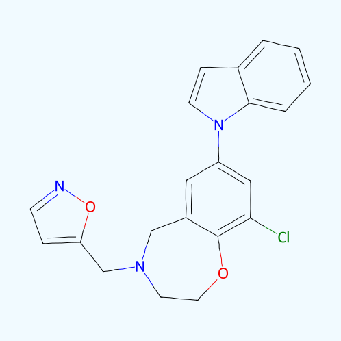 Clc1cc(-n2ccc3ccccc32)cc2c1OCCN(Cc1ccno1)C2